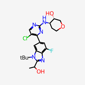 CC(O)c1nc2c(F)cc(-c3nc(N[C@@H]4CCOC[C@H]4O)ncc3Cl)cc2n1C(C)(C)C